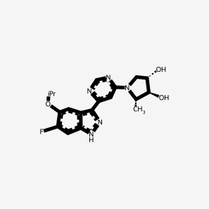 CC(C)Oc1cc2c(-c3cc(N4C[C@H](O)[C@@H](O)[C@@H]4C)ncn3)n[nH]c2cc1F